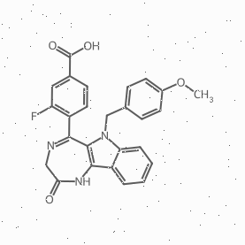 COc1ccc(Cn2c3c(c4ccccc42)NC(=O)CN=C3c2ccc(C(=O)O)cc2F)cc1